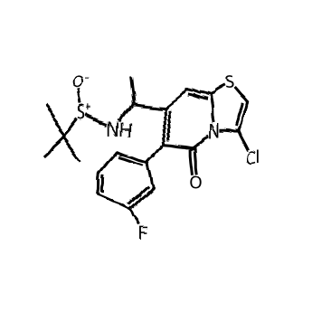 CC(N[S+]([O-])C(C)(C)C)c1cc2scc(Cl)n2c(=O)c1-c1cccc(F)c1